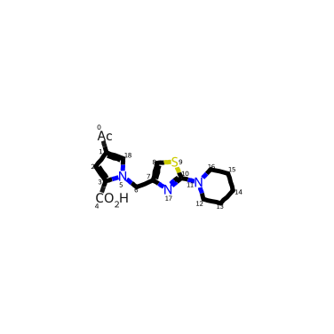 CC(=O)c1cc(C(=O)O)n(Cc2csc(N3CCCCC3)n2)c1